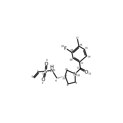 C=CS(=O)(=O)NC[C@H]1CCN(C(=O)c2ccc(C)c(F)c2)C1